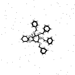 c1ccc(COC2CC3OC4(CCCCC4)O[C@H]3C(OCc3ccccc3)C(OCc3ccccc3)[C@H]2OCc2ccccc2)cc1